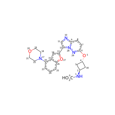 O=C(O)N[C@H]1C[C@H](Oc2ccc3ncc(-c4cc5c(N6CCOCC6)cccc5o4)n3n2)C1